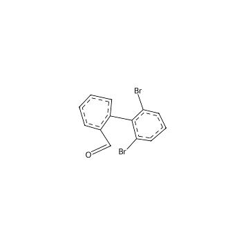 O=Cc1ccccc1-c1c(Br)cccc1Br